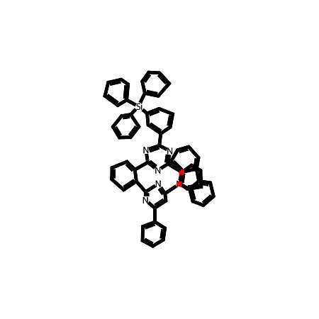 c1ccc(-c2cc(-n3c4ccccc4c4ccccc43)nc(-c3ccccc3-c3nc(-c4ccccc4)nc(-c4cccc([Si](c5ccccc5)(c5ccccc5)c5ccccc5)c4)n3)n2)cc1